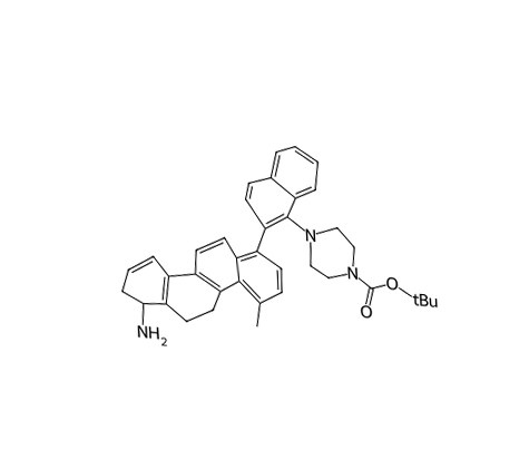 Cc1ccc(-c2ccc3ccccc3c2N2CCN(C(=O)OC(C)(C)C)CC2)c2ccc3c(c12)CCC1=C3C=CCC1N